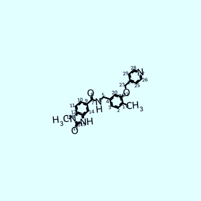 Cc1ccc(CNC(=O)c2ccc3c(c2)[nH]c(=O)n3C)cc1OCc1ccncc1